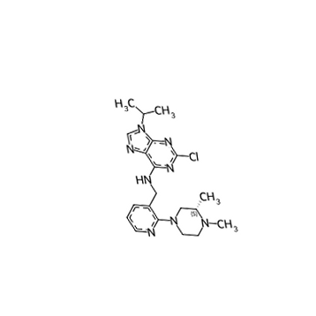 CC(C)n1cnc2c(NCc3cccnc3N3CCN(C)[C@@H](C)C3)nc(Cl)nc21